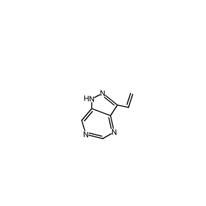 C=Cc1n[nH]c2cncnc12